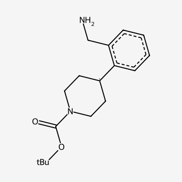 CC(C)(C)OC(=O)N1CC[C](c2ccccc2CN)CC1